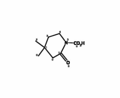 CC1(C)CCN(C(=O)O)C(=O)C1